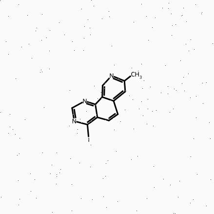 Cc1cc2ccc3c(I)ncnc3c2cn1